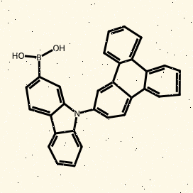 OB(O)c1ccc2c3ccccc3n(-c3ccc4c5ccccc5c5ccccc5c4c3)c2c1